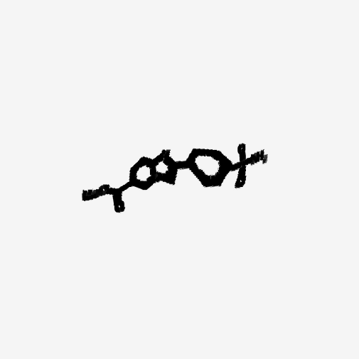 COC(=O)c1ccc2nc(-c3ccc(S(N)(=O)=O)cc3)cn2c1